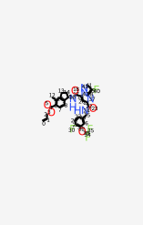 C=CCOC(=O)c1ccc2c(c1C)CC[C@@H]2NC(=O)c1cc(C(=O)NCc2ccc(F)c(OC(F)F)c2)nc2c(F)cnn12